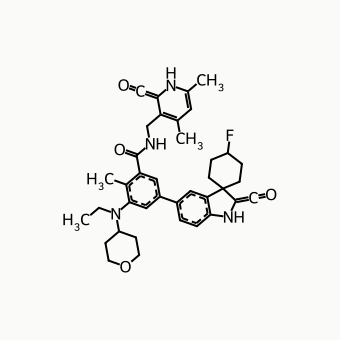 CCN(c1cc(-c2ccc3c(c2)C2(CCC(F)CC2)C(=C=O)N3)cc(C(=O)NCC2=C(C)C=C(C)NC2=C=O)c1C)C1CCOCC1